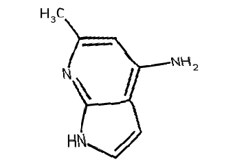 Cc1cc(N)c2cc[nH]c2n1